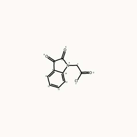 O=C(Cl)CN1C(=O)C(=O)c2ccccc21